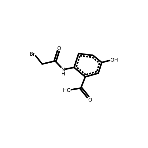 O=C(CBr)Nc1ccc(O)cc1C(=O)O